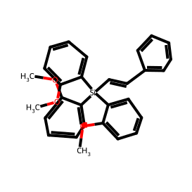 COc1ccccc1[Si](/C=C/c1ccccc1)(c1ccccc1OC)c1ccccc1OC